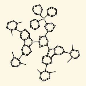 Cc1cccc(C)c1-c1ccc2c(c1)c1cc(-c3c(C)cccc3C)ccc1n2-c1nc(-c2cccc(S(c3ccccc3)(c3ccccc3)c3ccccc3)c2)nc(-n2c3ccc(-c4c(C)cccc4C)cc3c3cc(-c4c(C)cccc4C)ccc32)n1